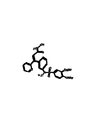 COc1ccc(S(=O)(=O)N(C)c2cccc(/C(=C\C(=O)NO)c3ccccn3)c2)cc1OC